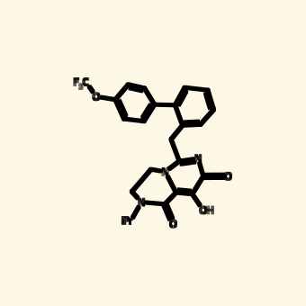 CC(C)N1CCn2c(Cc3ccccc3-c3ccc(OC(F)(F)F)cc3)nc(=O)c(O)c2C1=O